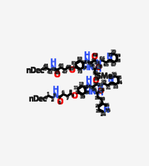 CCCCCCCCCCCCNC(=O)CCCOc1ccc(NC(NC(=O)CCc2cccnc2)C(=O)NCCc2ccccn2)cc1.CCCCCCCCCCCCNC(=O)CCCOc1ccc(NC(NC(=O)CSC)C(=O)NCCc2ccccn2)cc1